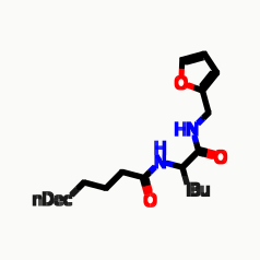 CCCCCCCCCCCCCC(=O)NC(C(=O)NCc1ccco1)C(C)CC